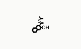 C=C(C)SC(=C)c1cc2ccccc2cc1O